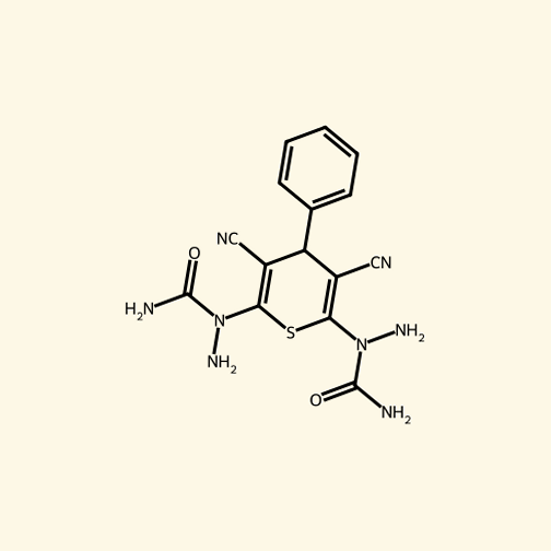 N#CC1=C(N(N)C(N)=O)SC(N(N)C(N)=O)=C(C#N)C1c1ccccc1